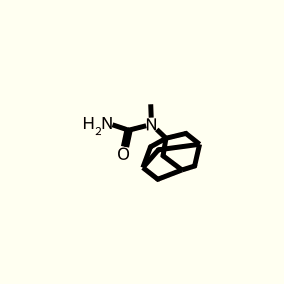 CN(C(N)=O)C12CC3CC(CC(C3)C1)C2